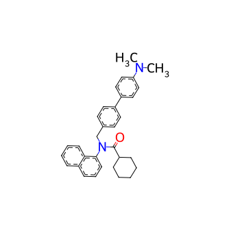 CN(C)c1ccc(-c2ccc(CN(C(=O)C3CCCCC3)c3cccc4ccccc34)cc2)cc1